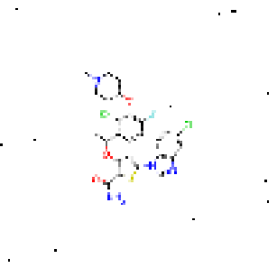 CC(Oc1cc(-n2cnc3cc(Cl)ccc32)sc1C(N)=O)c1ccc(F)c(OC2CCN(C)CC2)c1Cl